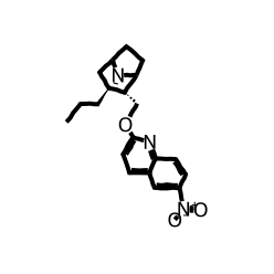 CCC[C@H]1CC2CCC([C@@H]1COc1ccc3cc([N+](=O)[O-])ccc3n1)N2C